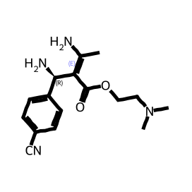 C/C(N)=C(\C(=O)OCCN(C)C)[C@H](N)c1ccc(C#N)cc1